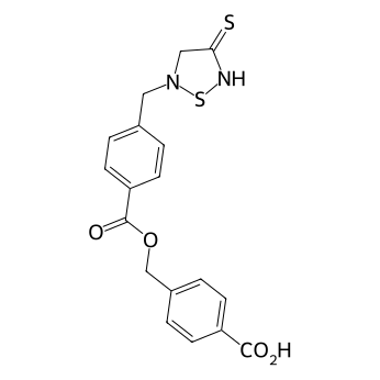 O=C(O)c1ccc(COC(=O)c2ccc(CN3CC(=S)NS3)cc2)cc1